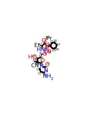 CC[C@H](NP(=O)(OC[C@H]1O[C@@H](n2ccc(N)nc2=O)[C@](C)(C#N)[C@@H]1O)Oc1ccccc1)C(=O)OC(C)C